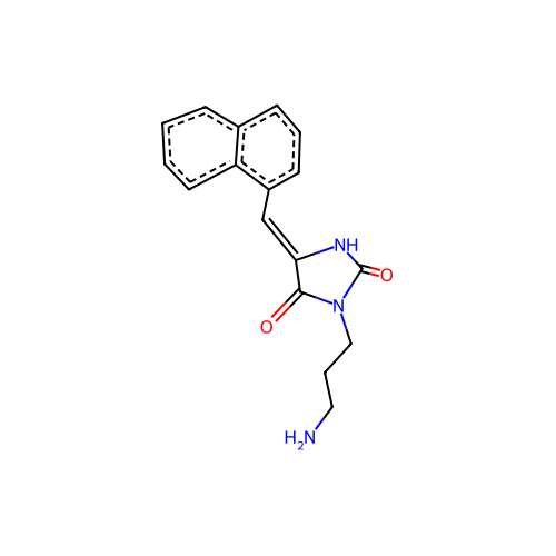 NCCCN1C(=O)NC(=Cc2cccc3ccccc23)C1=O